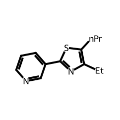 CCCc1sc(-c2cccnc2)nc1CC